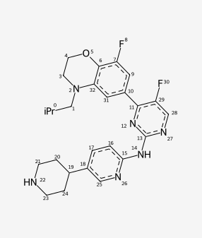 CC(C)CN1CCOc2c(F)cc(-c3nc(Nc4ccc(C5CCNCC5)cn4)ncc3F)cc21